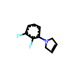 Fc1cccc(N2CC=CC2)c1F